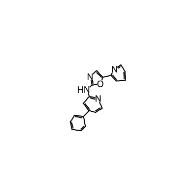 c1ccc(-c2ccnc(Nc3ncc(-c4ccccn4)o3)c2)cc1